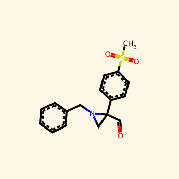 CS(=O)(=O)c1ccc(C2(C=O)CN2Cc2ccccc2)cc1